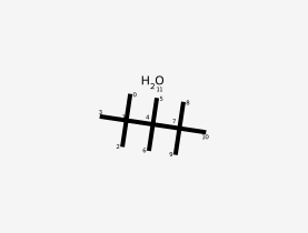 CC(C)(C)C(C)(C)C(C)(C)C.O